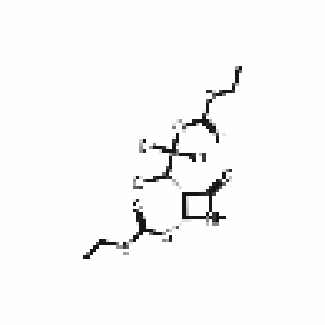 CCOC(=O)OC(Cl)(Cl)C(Cl)[C@@H]1C(=O)N[C@@H]1SC(=S)SCC